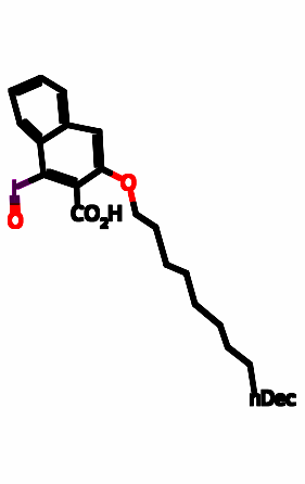 CCCCCCCCCCCCCCCCCCOc1cc2ccccc2c(I=O)c1C(=O)O